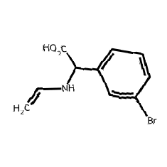 C=CNC(C(=O)O)c1cccc(Br)c1